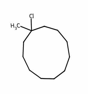 CC1(Cl)CCCCCCCCCC1